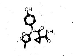 Cc1cc(N(C(=O)C2(C(N)=O)CC2)c2ccc(O)cc2)on1